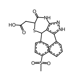 CS(=O)(=O)c1ccc(C2SC(CC(=O)O)C(=O)Nc3n[nH]c(-c4ccccc4)c32)cc1